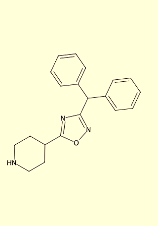 c1ccc(C(c2ccccc2)c2noc(C3CCNCC3)n2)cc1